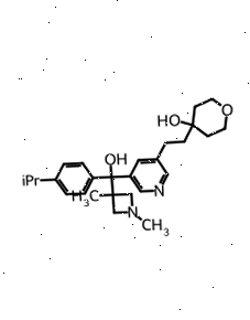 CC(C)c1ccc(C(O)(c2cncc(CCC3(O)CCOCC3)c2)C2(C)CN(C)C2)cc1